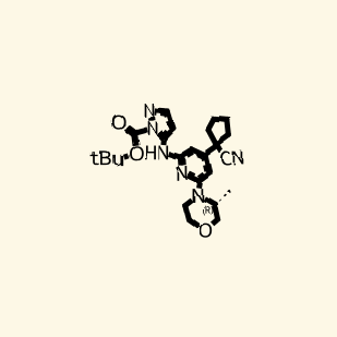 C[C@@H]1COCCN1c1cc(C2(C#N)CCCC2)cc(Nc2ccnn2C(=O)OC(C)(C)C)n1